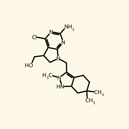 CN1NC2CC(C)(C)CCC2=C1CN1CC(CO)c2c(Cl)nc(N)nc21